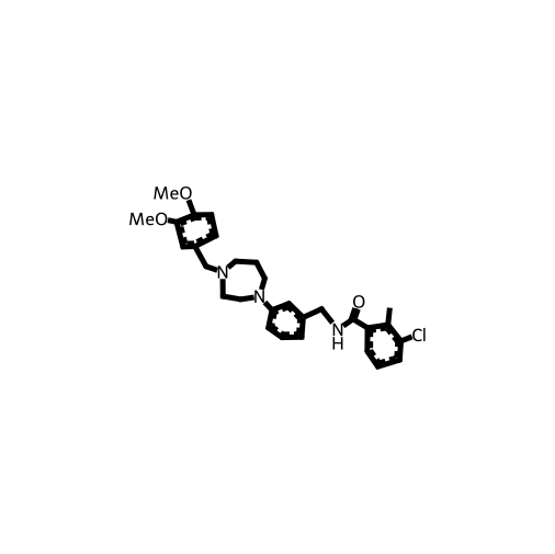 COc1ccc(CN2CCCN(c3cccc(CNC(=O)c4cccc(Cl)c4C)c3)CC2)cc1OC